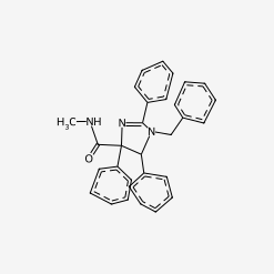 CNC(=O)C1(c2ccccc2)N=C(c2ccccc2)N(Cc2ccccc2)C1c1ccccc1